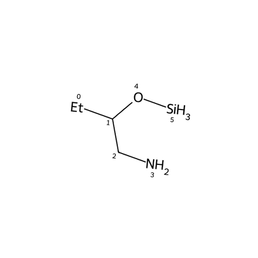 CCC(CN)O[SiH3]